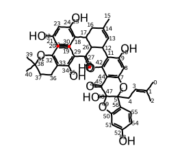 CC(C)=CCC12Oc3cc(O)c(C4C=C(C)CC(c5ccc(O)cc5O)C4C(=O)c4ccc5c(c4O)CCC(C)(C)O5)c(O)c3C(=O)C1(O)Oc1cc(O)ccc12